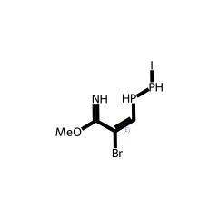 COC(=N)/C(Br)=C\PPI